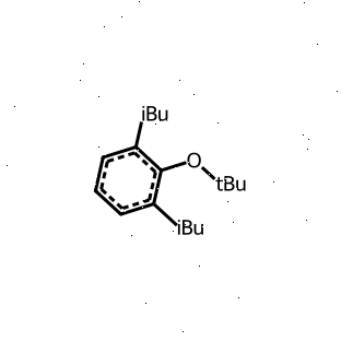 CCC(C)c1cccc(C(C)CC)c1OC(C)(C)C